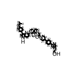 CC(C)Oc1ccc(-c2n[nH]c3ccc(N4CC[C@]5(CCN(CC(=O)N6CC=C(c7ccc(-c8ncn(CCO)n8)cc7)CC6)C5)C4=O)nc23)cn1